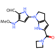 CONc1cc(N2CCc3cc(C(=O)N4CCC4)[nH]c32)[nH]c1C=O